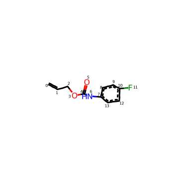 C=CCOC(=O)Nc1ccc(F)cc1